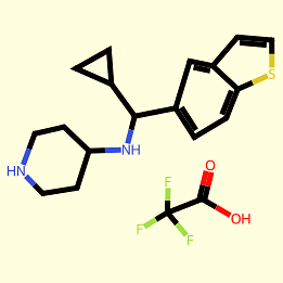 O=C(O)C(F)(F)F.c1cc2cc(C(NC3CCNCC3)C3CC3)ccc2s1